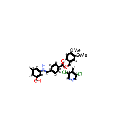 COc1ccc([C@H](Cc2c(Cl)cncc2Cl)OC(=O)c2ccc(CNc3cc(C)cc(O)c3)cc2)cc1OC